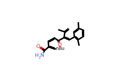 C=C(C)/C(=C\c1cc(C)ccc1C)C(=O)/C=C\C(=C/CCCC)C(N)=O